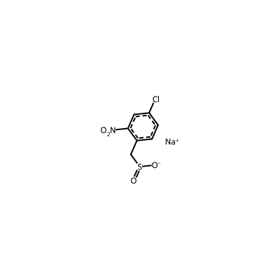 O=[N+]([O-])c1cc(Cl)ccc1CS(=O)[O-].[Na+]